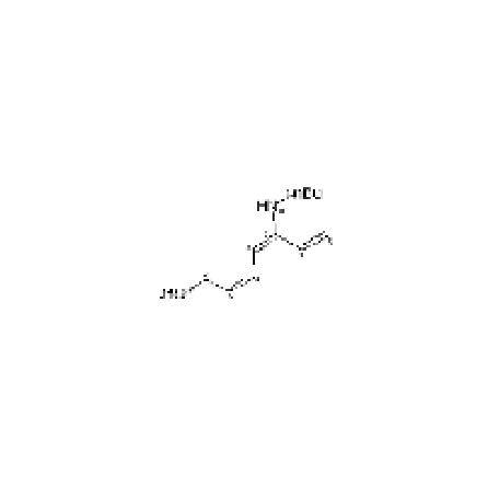 C=C/C(=C\C=C/CO)NCCCC